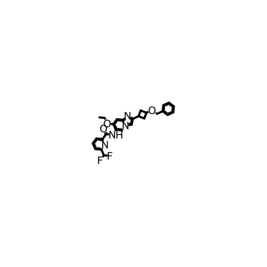 CCOc1cc2nc(C3CC(OCc4ccccc4)C3)cn2cc1NC(=O)c1cccc(C(F)F)n1